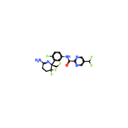 NC1=N[C@](CF)(c2cc(NC(=O)c3ncc(C(F)F)cn3)ccc2F)C(F)(F)CC1